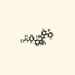 CCNCc1cncc(-c2cnc3[nH]nc(-c4cc5c(-c6ccccc6F)cccc5[nH]4)c3c2)c1